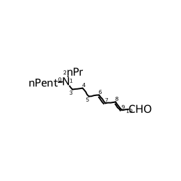 CCCCCN(CCC)CCC/C=C/C=C/C=O